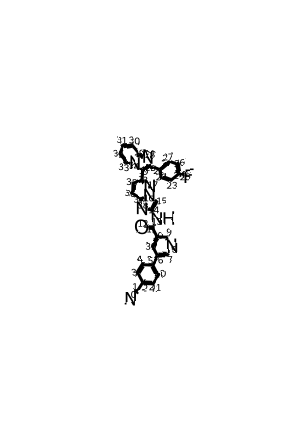 N#Cc1ccc(-c2cncc(C(=O)Nc3cn4nc(-c5c(-c6ccc(F)cc6)nc6ccccn56)ccc4n3)c2)cc1